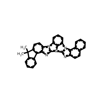 CC1(C)c2ccccc2-c2c1ccc1c2nc2n1c1cccc3c1n2c1nc2ccc4ccccc4c2n31